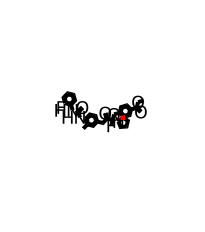 COC(=O)c1ccc(OC(F)(C(=O)Cc2ccc(NC(=O)Nc3ccccc3F)c(C)c2)N2CCCC2)cc1